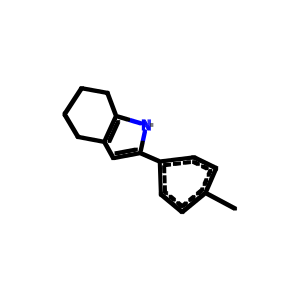 Cc1ccc(C2=CC3=C(CCCC3)[N]2)cc1